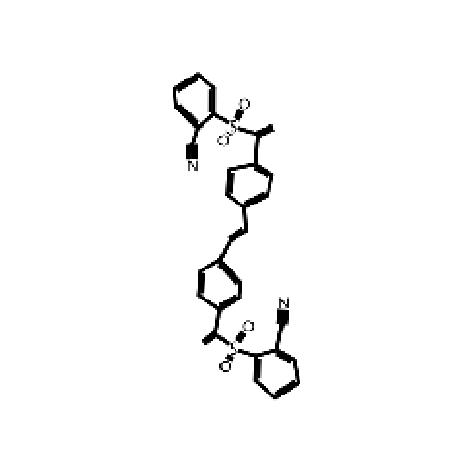 C=C(c1ccc(C=Cc2ccc(C(=C)S(=O)(=O)c3ccccc3C#N)cc2)cc1)S(=O)(=O)c1ccccc1C#N